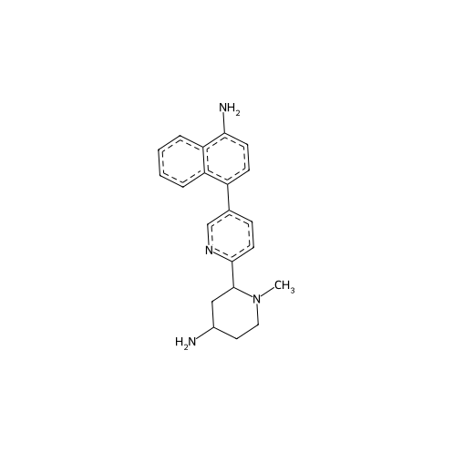 CN1CCC(N)CC1c1ccc(-c2ccc(N)c3ccccc23)cn1